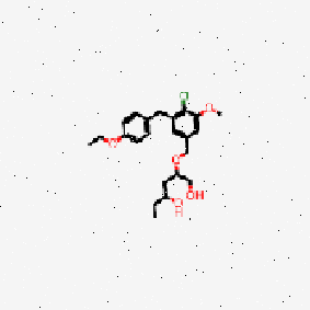 CCOc1ccc(Cc2cc(COC(CO)CC(O)CC)cc(OC)c2Cl)cc1